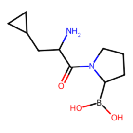 NC(CC1CC1)C(=O)N1CCCC1B(O)O